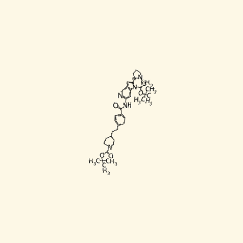 CN1CCC[C@@H]1c1cc2cnc(NC(=O)c3ccc(CCC4CCN(C(=O)OC(C)(C)C)CC4)cc3)cc2n1C(=O)OC(C)(C)C